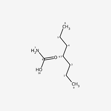 CCCCCCC.NC(=O)O